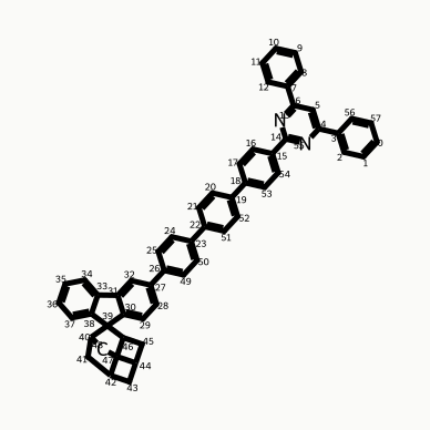 c1ccc(-c2cc(-c3ccccc3)nc(-c3ccc(-c4ccc(-c5ccc(-c6ccc7c(c6)-c6ccccc6C76C7CC8CC9CC6C89C7)cc5)cc4)cc3)n2)cc1